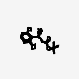 CC(C)(C)OC(=O)CC(C#N)c1c(Cl)cccc1Cl